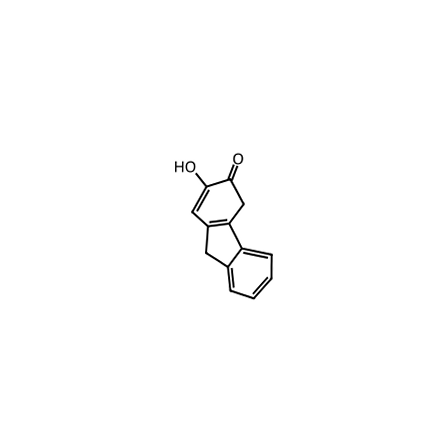 O=C1CC2=C(C=C1O)Cc1ccccc12